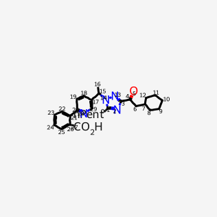 CCCCCc1nc(C(=O)CC2CCCCC2)nn1C(C)c1ccc(-c2ccccc2C(=O)O)nc1